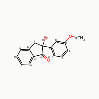 COc1cccc(C2(Br)Cc3ccccc3C2=O)c1